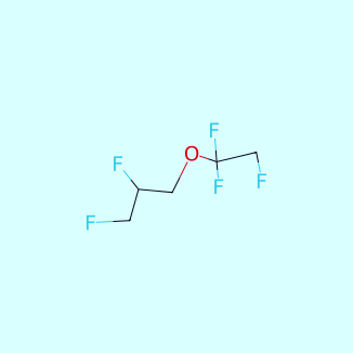 FCC(F)COC(F)(F)CF